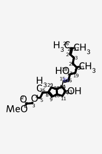 COC(=O)COCC(C)C1=CC2C[C@@H](O)[C@H](/C=C/C(O)CC(C)CCC=C(C)C)C2C1